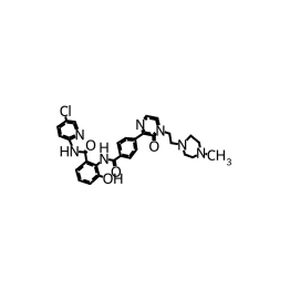 CN1CCN(CCn2ccnc(-c3ccc(C(=O)Nc4c(O)cccc4C(=O)Nc4ccc(Cl)cn4)cc3)c2=O)CC1